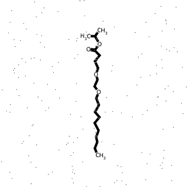 CCCCCCCCCCOCCOCCCC(=O)OC(C)C